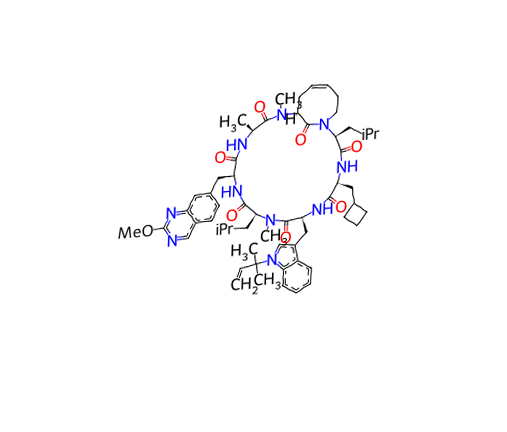 C=CC(C)(C)n1cc(C[C@@H]2NC(=O)[C@H](CC3CCC3)NC(=O)[C@H](CC(C)C)N3CC/C=C\C[C@@H](C3=O)N(C)C(=O)[C@H](C)NC(=O)[C@H](Cc3ccc4cnc(OC)nc4c3)NC(=O)[C@H](CC(C)C)N(C)C2=O)c2ccccc21